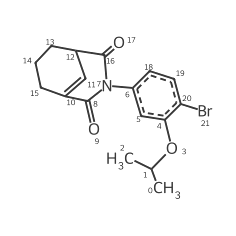 CC(C)Oc1cc(N2C(=O)C3=CC(CCC3)C2=O)ccc1Br